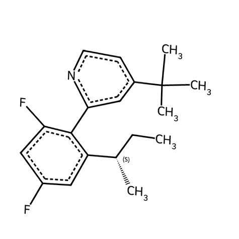 CC[C@H](C)c1cc(F)cc(F)c1-c1cc(C(C)(C)C)ccn1